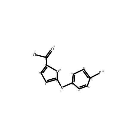 O=C(Cl)c1ccc(Sc2ccc(F)cc2)o1